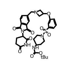 CC(C)(C)OC(=O)NC1CCN(S(=O)(=O)c2cccc(OC3CN(Cc4ccc5c(c4)C(=O)N(C4CCC(=O)NC4=O)C5=O)C3)c2)CC1